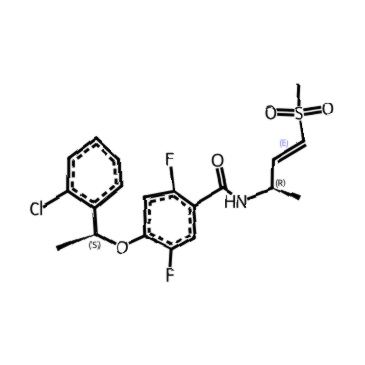 C[C@H](/C=C/S(C)(=O)=O)NC(=O)c1cc(F)c(O[C@@H](C)c2ccccc2Cl)cc1F